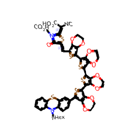 [C-]#[N+]/C(C(=O)O)=c1\s/c(=C\c2sc(-c3sc(-c4sc(-c5sc(-c6ccc7c(c6)Sc6ccccc6N7CCCCCC)c6c5OCCO6)c5c4OCCO5)c4c3OCCO4)c3c2OCCO3)c(=O)n1CC(=O)O